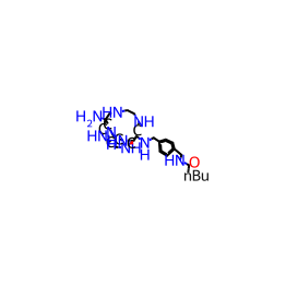 CCCCC(=O)NCc1ccc(CNC23CNCCNCC(N)(CNCCNC2)CNCCNC3)cc1